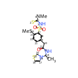 CNC(=S)NS(=O)(=O)c1cc(CC(=O)NC(C)N2C=CSC2)ccc1SC